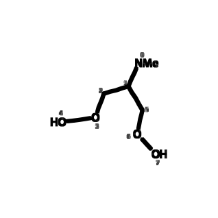 CNC(COO)COO